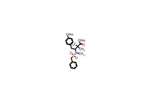 COC(=O)C(C)(C)C(Cc1ccc(OC)cc1)N(C)S(=O)(=O)Cc1ccccc1